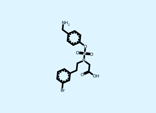 NCc1ccc(OS(=O)(=O)N(CCc2cccc(Br)c2)CC(=O)O)cc1